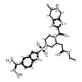 CCOC(=O)CC1CN(S(=O)(=O)c2cc3cc(/C(N)=N\O)ccc3s2)CCN1C(=O)c1nc2c(s1)CNC(C)C2